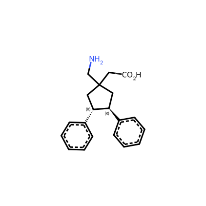 NCC1(CC(=O)O)C[C@@H](c2ccccc2)[C@H](c2ccccc2)C1